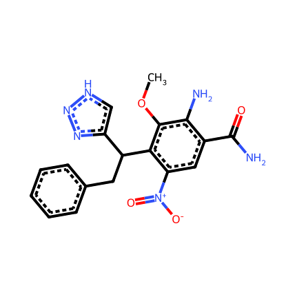 COc1c(N)c(C(N)=O)cc([N+](=O)[O-])c1C(Cc1ccccc1)c1c[nH]nn1